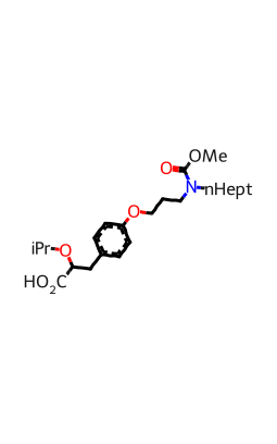 CCCCCCCN(CCCOc1ccc(CC(OC(C)C)C(=O)O)cc1)C(=O)OC